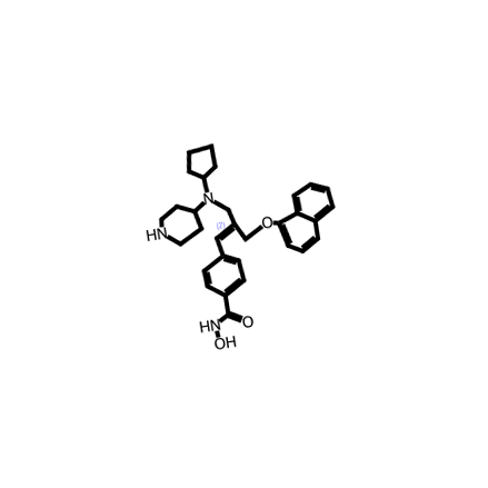 O=C(NO)c1ccc(/C=C(\COc2cccc3ccccc23)CN(C2CCCC2)C2CCNCC2)cc1